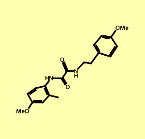 COc1ccc(CCNC(=O)C(=O)Nc2ccc(OC)cc2C)cc1